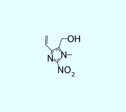 C=Cc1nc([N+](=O)[O-])n(C)c1CO